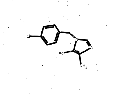 CC(=O)c1c(N)ncn1Cc1ccc(Cl)cc1